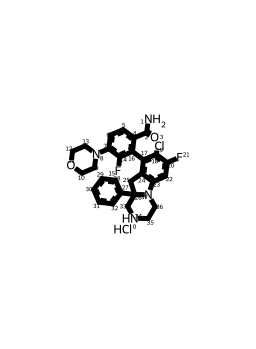 Cl.NC(=O)c1ccc(N2CCOCC2)c(F)c1-c1c(Cl)c(F)cc2c1CC1(c3ccccc3)CNCCN21